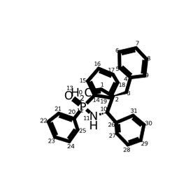 C=C[C@@H](Cc1ccccc1)[C@@H](NP(=O)(c1ccccc1)c1ccccc1)c1ccccc1